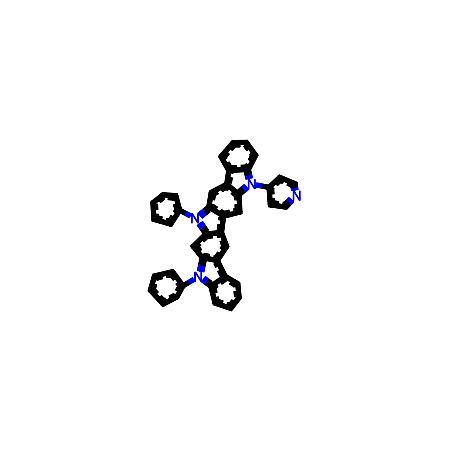 c1ccc(-n2c3ccccc3c3cc4c5cc6c(cc5n(-c5ccccc5)c4cc32)c2ccccc2n6-c2ccncc2)cc1